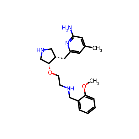 COc1ccccc1CNCCO[C@@H]1CNC[C@@H]1Cc1cc(C)cc(N)n1